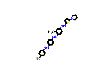 CCCCc1ccc(N=Nc2ccc(N=Nc3ccc(N=Nc4ccc(N5CCCC5)s4)cc3C)cc2)cc1